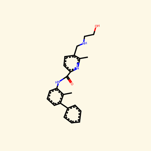 Cc1nc(C(=O)Nc2cccc(-c3ccccc3)c2C)ccc1CNCCO